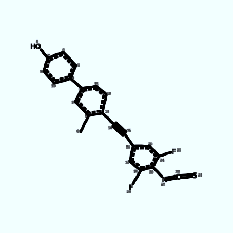 Cc1cc(-c2ccc(O)cc2)ccc1C#Cc1cc(F)c(N=C=S)c(F)c1